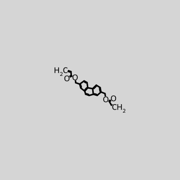 C=CC(=O)OCc1ccc2c(ccc3cc(COC(=O)C=C)ccc32)c1